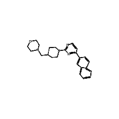 c1ccc2cc(-c3ccnc(N4CCC(CN5CCOCC5)CC4)n3)ccc2c1